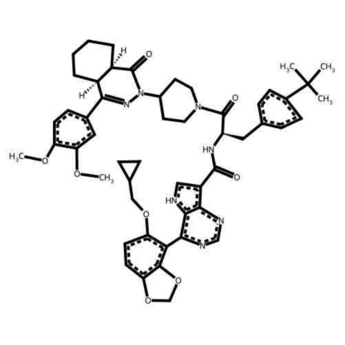 COc1ccc(C2=NN(C3CCN(C(=O)[C@@H](Cc4ccc(C(C)(C)C)cc4)NC(=O)c4c[nH]c5c(-c6c(OCC7CC7)ccc7c6OCO7)ncnc45)CC3)C(=O)[C@@H]3CCCC[C@H]23)cc1OC